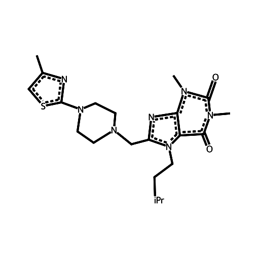 Cc1csc(N2CCN(Cc3nc4c(c(=O)n(C)c(=O)n4C)n3CCC(C)C)CC2)n1